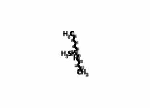 CCCCCC[SiH]([SiH3])CCCCCC